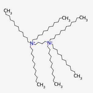 CCCCCCCCCCCC[N+](CCCCCCCCCCCC)(CCCCCCCCCCCC)CCCC[N+](CCCCCCCCCCCC)(CCCCCCCCCCCC)CCCCCCCCCCCC